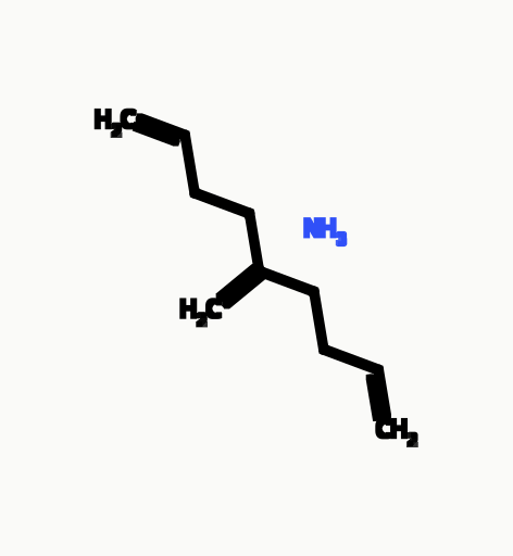 C=CCCC(=C)CCC=C.N